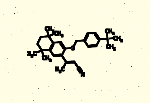 CC(=CC#N)c1cc2c(cc1OCc1ccc(C(C)(C)C)cc1)C(C)(C)CCC2(C)C